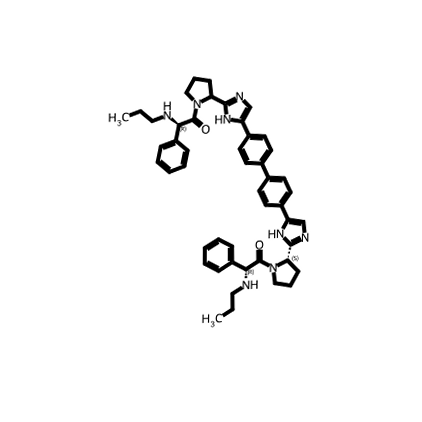 CCCN[C@@H](C(=O)N1CCCC1c1ncc(-c2ccc(-c3ccc(-c4cnc([C@@H]5CCCN5C(=O)[C@H](NCCC)c5ccccc5)[nH]4)cc3)cc2)[nH]1)c1ccccc1